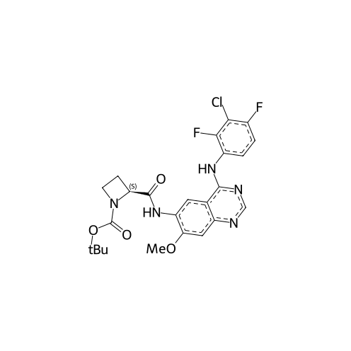 COc1cc2ncnc(Nc3ccc(F)c(Cl)c3F)c2cc1NC(=O)[C@@H]1CCN1C(=O)OC(C)(C)C